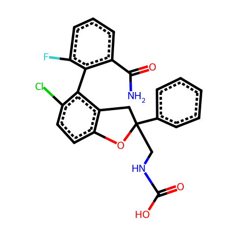 NC(=O)c1cccc(F)c1-c1c(Cl)ccc2c1CC(CNC(=O)O)(c1ccccc1)O2